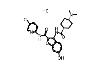 CN(C)[C@H]1CC[C@H](C(=O)Nc2c(C(=O)Nc3ccc(Cl)cn3)oc3cc(O)ccc23)CC1.Cl